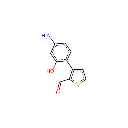 Nc1ccc(-c2ccsc2C=O)c(O)c1